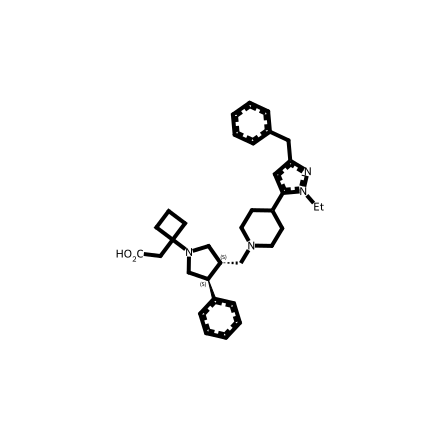 CCn1nc(Cc2ccccc2)cc1C1CCN(C[C@H]2CN(C3(CC(=O)O)CCC3)C[C@@H]2c2ccccc2)CC1